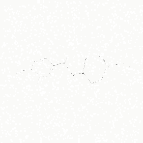 CCOC(=O)N1CCC(NC(=O)c2ccc(N)c(I)c2)CC1